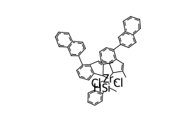 CC1=Cc2c(-c3ccc4ccccc4c3)cccc2[CH]1[Zr]([Cl])([Cl])([CH]1C(C)=Cc2c(-c3ccc4ccccc4c3)cccc21)[SiH](C)c1ccccc1